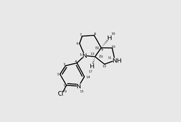 Clc1ccc(N2CCC[C@H]3CNC[C@H]32)cn1